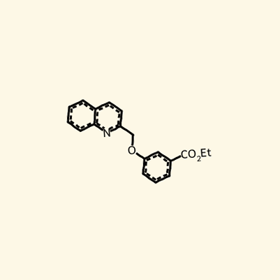 CCOC(=O)c1cccc(OCc2ccc3ccccc3n2)c1